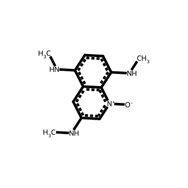 CNc1cc2c(NC)ccc(NC)c2[n+]([O-])c1